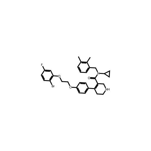 Cc1cccc(CN(C(=O)C2=C(c3ccc(OCCOc4cc(F)ccc4Br)cc3)CCNC2)C2CC2)c1C